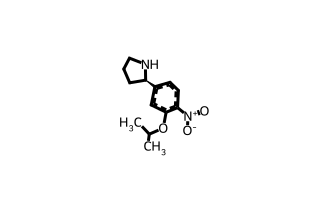 CC(C)Oc1cc([C@H]2CCCN2)ccc1[N+](=O)[O-]